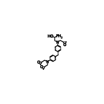 OC(P)CN(CC1CO1)c1ccc(Cc2ccc(N(CC3CO3)CC3CO3)cc2)cc1